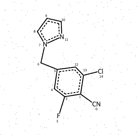 N#Cc1c(F)cc(Cn2cccn2)cc1Cl